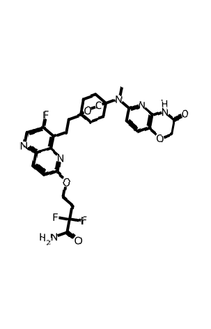 CN(c1ccc2c(n1)NC(=O)CO2)C12CCC(CCc3c(F)cnc4ccc(OCCC(F)(F)C(N)=O)nc34)(CC1)OC2